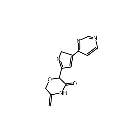 C=C1COC(C2=NCC(c3ccncn3)=C2)C(=O)N1